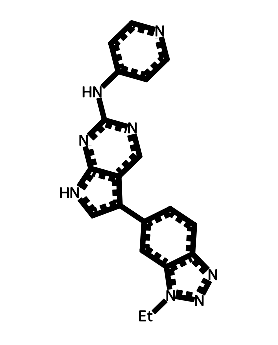 CCn1nnc2ccc(-c3c[nH]c4nc(Nc5ccncc5)ncc34)cc21